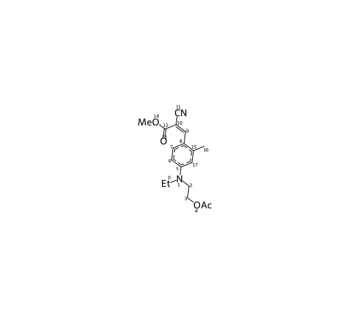 CCN(CCOC(C)=O)c1ccc(C=C(C#N)C(=O)OC)c(C)c1